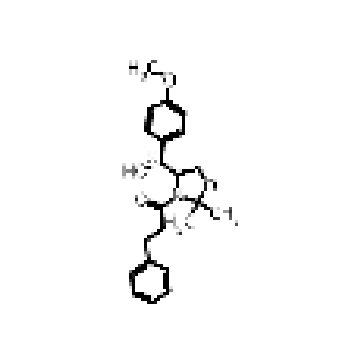 COc1ccc([C@@H](O)C2COC(C)(C)N2C(=O)CCc2ccccc2)cc1